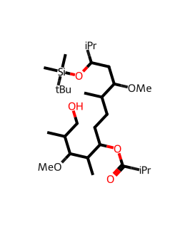 COC(CC(O[Si](C)(C)C(C)(C)C)C(C)C)C(C)CCC(OC(=O)C(C)C)C(C)C(OC)C(C)CO